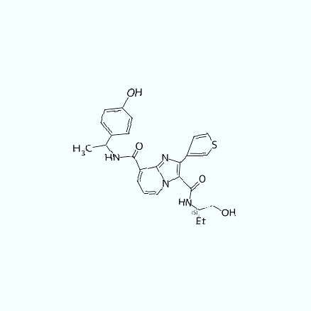 CC[C@@H](CO)NC(=O)c1c(-c2ccsc2)nc2c(C(=O)NC(C)c3ccc(O)cc3)cccn12